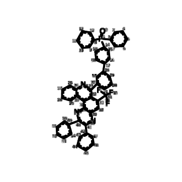 O=P(c1ccccc1)(c1ccccc1)c1ccc(-c2cccc(-c3nc4ccccc4c4c3c(C(F)(F)F)cc3nc(-c5ccccc5)c(-c5ccccc5)nc34)c2)cc1